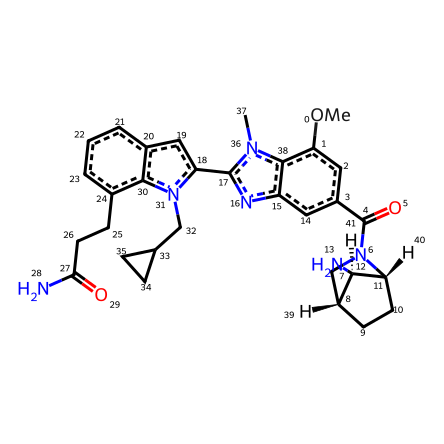 COc1cc(C(=O)N2C[C@H]3CC[C@@H]2[C@@H]3N)cc2nc(-c3cc4cccc(CCC(N)=O)c4n3CC3CC3)n(C)c12